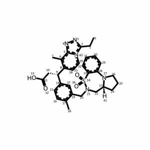 CCc1nnc2c(C)c([C@@H](CC(=O)O)c3ccc(C)c(CN4C[C@H]5CCCN5c5ccccc5S4(=O)=O)c3)ccn12